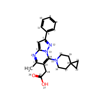 Cc1nc2cc(-c3ccccc3)nn2c(N2CCC3(CC2)CC3)c1CC(=O)O